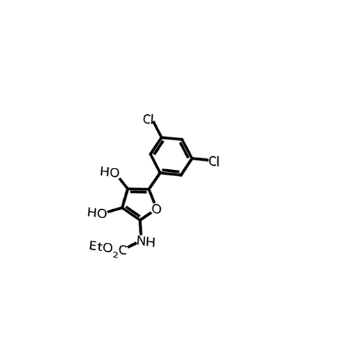 CCOC(=O)Nc1oc(-c2cc(Cl)cc(Cl)c2)c(O)c1O